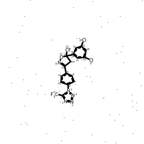 FC(F)(F)c1nnnn1-c1ccc(C2=NOC(c3cc(Cl)cc(Cl)c3)(C(F)(F)F)C2)cc1